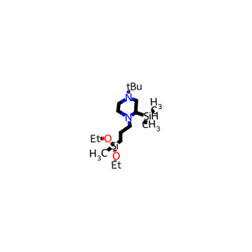 CCO[Si](C)(CCCN1CCN(C(C)(C)C)CC1[SiH](C)C)OCC